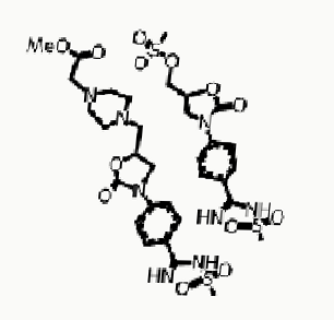 COC(=O)CN1CCN(CC2CN(c3ccc(C(=N)NS(C)(=O)=O)cc3)C(=O)O2)CC1.CS(=O)(=O)NC(=N)c1ccc(N2CC(COS(C)(=O)=O)OC2=O)cc1